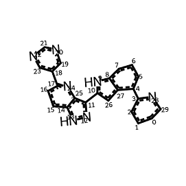 c1ccc(-c2cccc3[nH]c(-c4n[nH]c5ccc(-c6cncnc6)nc45)cc23)nc1